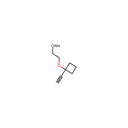 [C]#CC1(OCCOC)CCC1